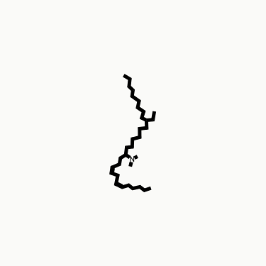 CCCCC/C=C\C/C=C\CCC(CCCCCCC(CC)CCCCCCCCC)N(C)C